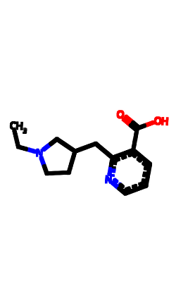 CCN1CCC(Cc2ncccc2C(=O)O)C1